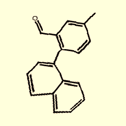 Cc1ccc(-c2cccc3ccccc23)c(C=O)c1